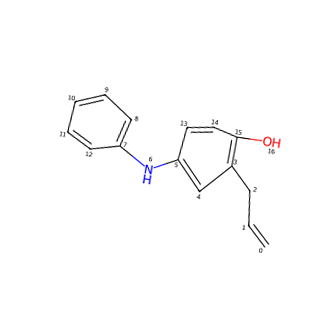 C=CCc1cc(Nc2ccccc2)ccc1O